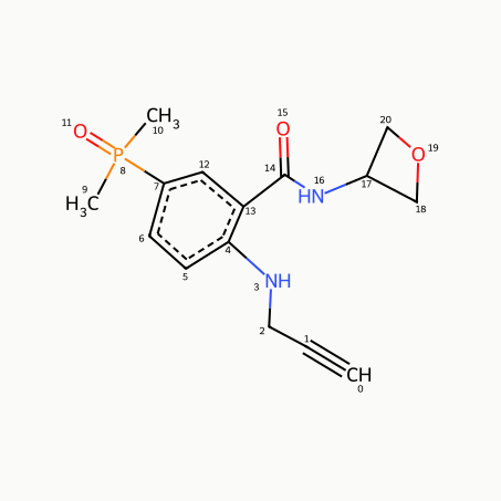 C#CCNc1ccc(P(C)(C)=O)cc1C(=O)NC1COC1